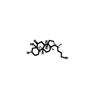 CC(C)CCC[C@@H](C)[C@H]1CC[C@H]2[C@@H]3CC(=O)[C@@]4(O)C[C@@H]([O])CC[C@]4(C)[C@H]3CC[C@]12C